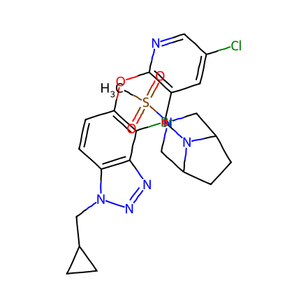 CS(=O)(=O)N1CC2CCC(C1)N2Cc1cc(Cl)cnc1Oc1ccc2c(nnn2CC2CC2)c1Br